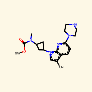 CN(C(=O)OC(C)(C)C)C1CC(n2cc(C#N)c3ccc(N4CCNCC4)nc32)C1